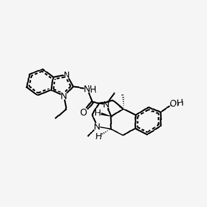 CCn1c(NC(=O)N(C)[C@H]2[C@H]3Cc4ccc(O)cc4[C@]2(C)CCCN3C)nc2ccccc21